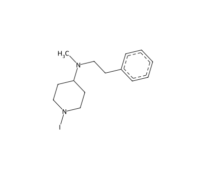 CN(CCc1ccccc1)C1CCN(I)CC1